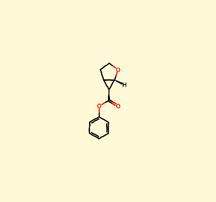 O=C(Oc1ccccc1)[C@H]1C2CCO[C@@H]21